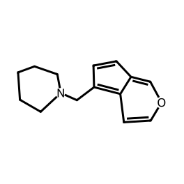 c1cc2c(CN3CCCCC3)ccc-2co1